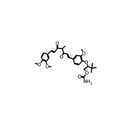 COc1ccc(/C=C/C(=O)C(C)C(=O)/C=C/c2ccc(OC(COC(N)=O)C(C)(C)C)c(OC)c2)cc1OC